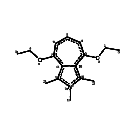 CCOc1cccc(OCC)c2c(C)[n+](C)c(C)c1-2